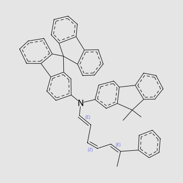 C\C(=C/C=C\C=C\N(c1ccc2c(c1)C(C)(C)c1ccccc1-2)c1ccc2c(c1)C1(c3ccccc3-c3ccccc31)c1ccccc1-2)c1ccccc1